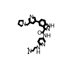 CN(C)CCNc1ccc(NC(=O)c2n[nH]c3ccc(-c4cncc(CN5CCCC5)c4)cc23)cn1